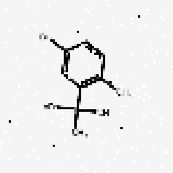 CCCC(C)(C#N)c1cc(Br)ccc1C